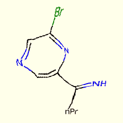 CCCC(=N)c1cncc(Br)n1